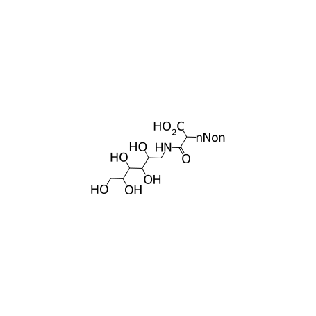 CCCCCCCCCC(C(=O)O)C(=O)NCC(O)C(O)C(O)C(O)CO